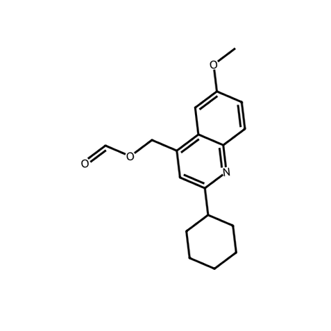 COc1ccc2nc(C3CCCCC3)cc(COC=O)c2c1